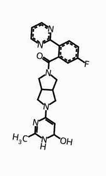 CC1=NC(N2CC3CN(C(=O)c4cc(F)ccc4-c4ncccn4)CC3C2)=CC(O)N1